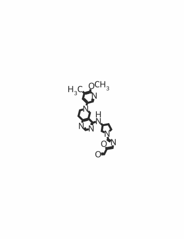 COc1ncc(N2CCc3ncnc(NC4CCN(c5ncc(C=O)o5)C4)c3C2)cc1C